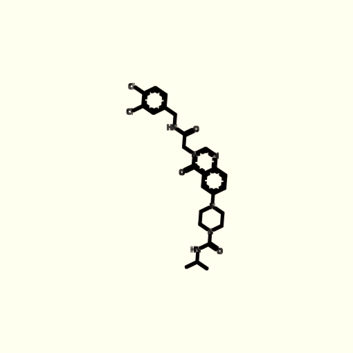 CC(C)NC(=O)N1CCN(c2ccc3ncn(CC(=O)NCc4ccc(Cl)c(Cl)c4)c(=O)c3c2)CC1